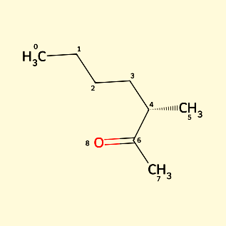 CCCC[C@H](C)C(C)=O